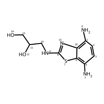 Nc1ccc(N)c2sc(NCC(O)CO)nc12